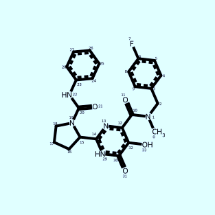 CN(Cc1ccc(F)cc1)C(=O)c1nc(C2CCCN2C(=O)Nc2ccccc2)[nH]c(=O)c1O